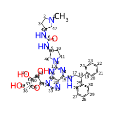 CN1CC[C@H](NC(=O)N[C@@H]2CCN(c3nc(NCC(c4ccccc4)c4ccccc4)c4ncn([C@@H]5O[C@H](CO)[C@@H](O)[C@H]5O)c4n3)C2)C1